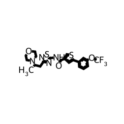 CC(Cc1nsc(NC(=O)c2csc(-c3cccc(OC(F)(F)F)c3)c2)n1)N1CCOCC1